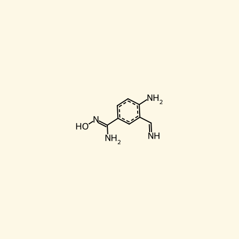 N=Cc1cc(/C(N)=N/O)ccc1N